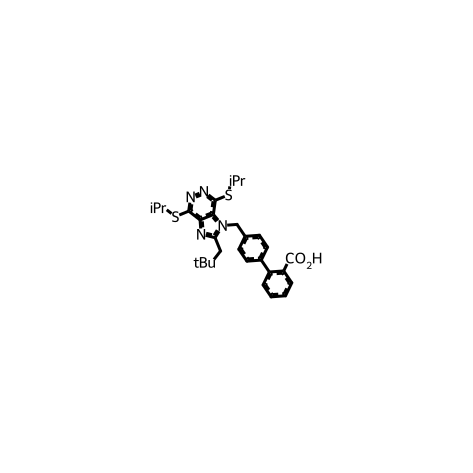 CC(C)Sc1nnc(SC(C)C)c2c1nc(CC(C)(C)C)n2Cc1ccc(-c2ccccc2C(=O)O)cc1